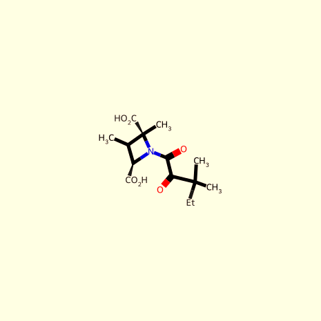 CCC(C)(C)C(=O)C(=O)N1[C@@H](C(=O)O)C(C)[C@@]1(C)C(=O)O